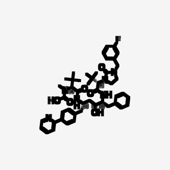 CN(C(=O)O)[C@H](C(=O)N[C@@H](Cc1ccc(-c2ccccn2)cc1)C[C@H](O)[C@H](Cc1ccccc1)NC(=O)[C@@H](N1CCN(Cc2cccc(F)c2)C1=O)C(C)(C)C)C(C)(C)C